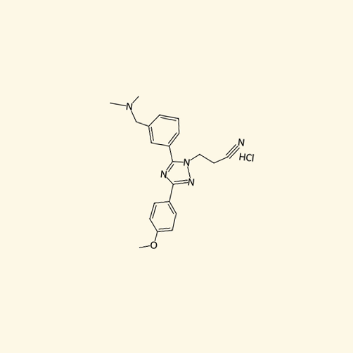 COc1ccc(-c2nc(-c3cccc(CN(C)C)c3)n(CCC#N)n2)cc1.Cl